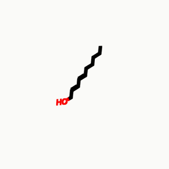 CCCCCC=C/C=C/CO